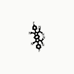 N#CC(C#N)=C1C(c2ccc(F)cc2)=C(C#N)c2cc3c(cc21)C(=C(C#N)C#N)C(c1ccc(F)cc1)=C3C#N